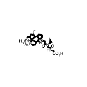 CC(=O)N1CCC(c2nn(CC(=O)N(CC(=O)NCC(=O)O)C3CC3)c3cccc(-c4cc5nn(C)cc5cc4F)c23)CC1